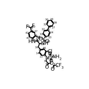 NS(=O)(=O)N(CC(=O)OC(=O)C(F)(F)F)c1ccc(CC(NS(=O)(=O)c2ccc(-c3ccccc3)cc2)c2nc3cc(C(F)F)ccc3[nH]2)cc1Cl